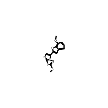 COc1cccc2cc(-c3cnc4sc(SC)nn34)oc12